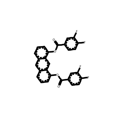 O=C(Oc1cccc2cc3cccc(OC(=O)c4ccc(F)c(F)c4)c3cc12)c1ccc(F)c(F)c1